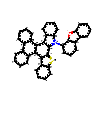 c1ccc2c(c1)oc1c(-n3c4ccccc4c4c5c6ccccc6c6ccccc6c5c5c6ccccc6sc5c43)cccc12